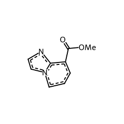 COC(=O)c1cccn2ccnc12